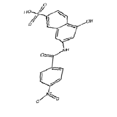 O=C(Nc1cc(O)c2ccc(S(=O)(=O)O)cc2c1)c1ccc([N+](=O)[O-])cc1